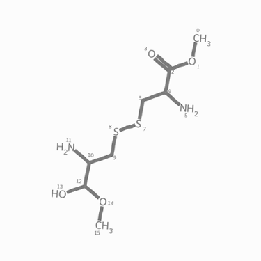 COC(=O)C(N)CSSCC(N)C(O)OC